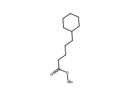 CC(C)(C)OC(=O)CCCCC1CCCCC1